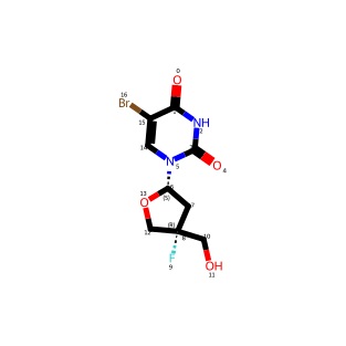 O=c1[nH]c(=O)n([C@@H]2C[C@@](F)(CO)CO2)cc1Br